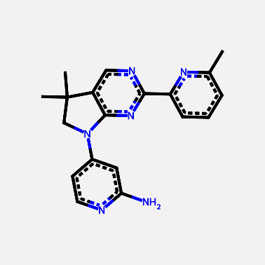 Cc1cccc(-c2ncc3c(n2)N(c2ccnc(N)c2)CC3(C)C)n1